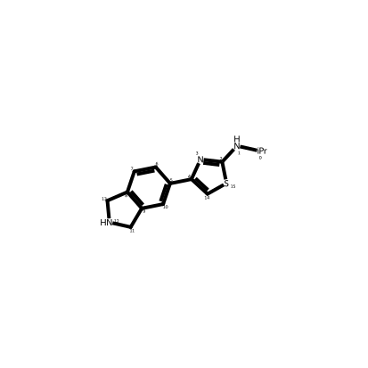 CC(C)Nc1nc(-c2ccc3c(c2)CNC3)cs1